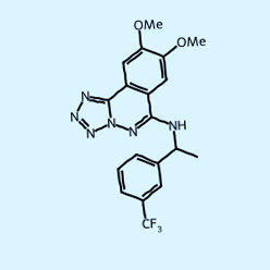 COc1cc2c(NC(C)c3cccc(C(F)(F)F)c3)nn3nnnc3c2cc1OC